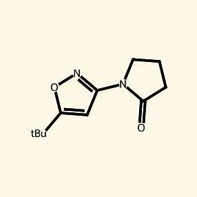 CC(C)(C)c1cc(N2CCCC2=O)no1